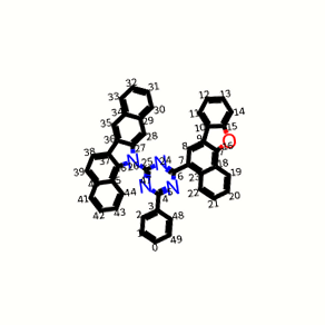 c1ccc(-c2nc(-c3cc4c5ccccc5oc4c4ccccc34)nc(-n3c4cc5ccccc5cc4c4ccc5ccccc5c43)n2)cc1